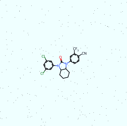 N#Cc1ccc(N2C(=O)N(c3cc(Cl)cc(Cl)c3)C3CCCCC32)cc1C(F)(F)F